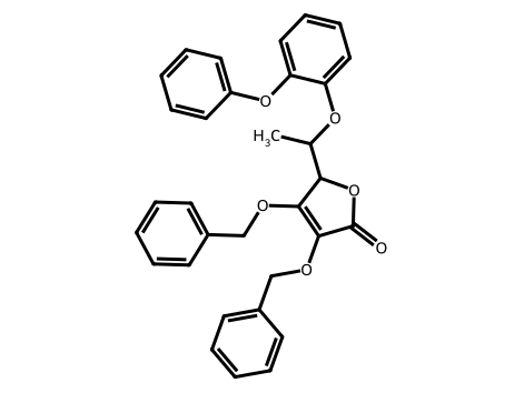 CC(Oc1ccccc1Oc1ccccc1)C1OC(=O)C(OCc2ccccc2)=C1OCc1ccccc1